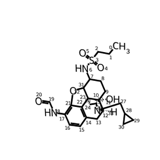 CCCS(=O)(=O)NC1CC[C@@]2(O)[C@H]3Cc4ccc(NC=O)c5c4[C@@]2(CCN3CC2CC2)C1O5